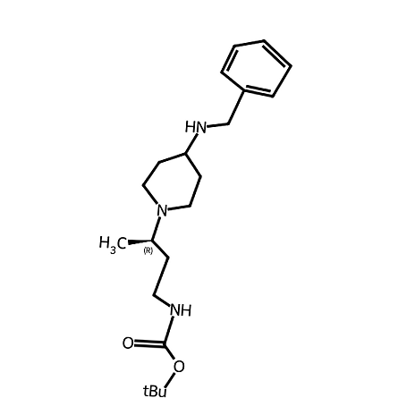 C[C@H](CCNC(=O)OC(C)(C)C)N1CCC(NCc2ccccc2)CC1